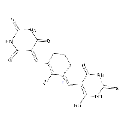 O=C1NC(=S)NC(=O)C1=CC1=C(Cl)/C(=C/c2c(O)[nH]c(=S)[nH]c2=O)CCC1